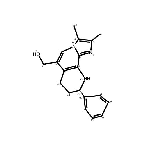 Cc1nc2c3c(c(CO)cn2c1C)CC[C@@H](c1ccccc1)N3